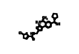 CN(C)c1cc(C(=N)N2CCCC2)ccc1-c1cc(CNC(=O)C2=CCC(Cl)S2)on1